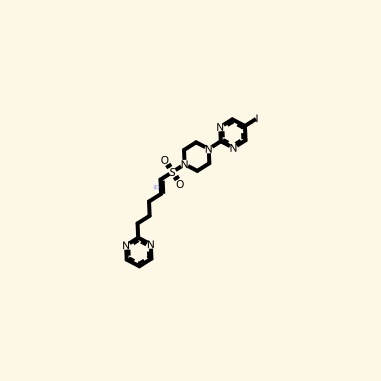 O=S(=O)(/C=C/CCCc1ncccn1)N1CCN(c2ncc(I)cn2)CC1